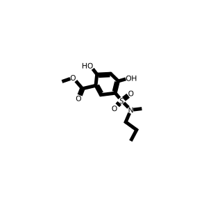 CCCN(C)S(=O)(=O)c1cc(C(=O)OC)c(O)cc1O